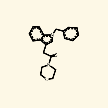 S=C(Cc1cn(Cc2ccccc2)c2ccccc12)N1CCOCC1